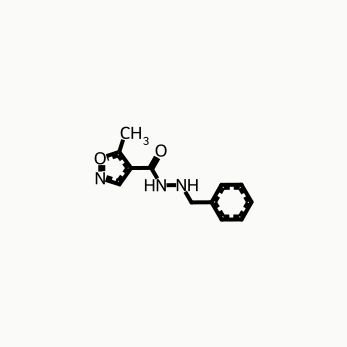 Cc1oncc1C(=O)NNCc1ccccc1